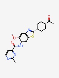 COc1cc2nc([C@H]3CC[C@H](C(C)=O)CC3)sc2cc1NC(=O)c1ccnc(C)n1